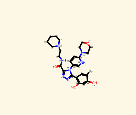 CC(C)c1cc(-c2nnc(C(=O)NCCN3CCCCC3)n2C2=CNC(N3CCOCC3)C=C2)c(O)cc1O